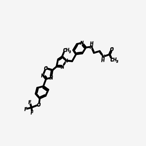 CC(=O)NCCNc1cc(Cn2nc(-c3nc(-c4ccc(OC(F)(F)F)cc4)no3)cc2C)ccn1